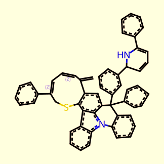 C=C1/C=C\C=C(\c2ccccc2)CSc2c1cc1c3c2c2ccccc2n3-c2ccccc2C1(c1ccccc1)c1cccc(C2C=CC=C(c3ccccc3)N2)c1